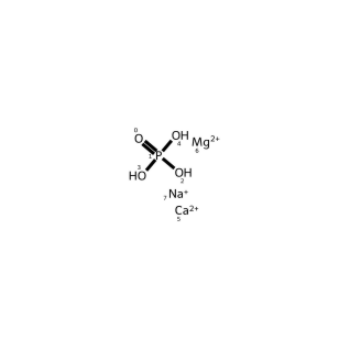 O=P(O)(O)O.[Ca+2].[Mg+2].[Na+]